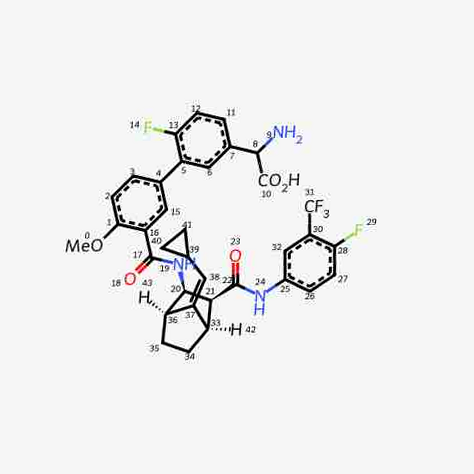 COc1ccc(-c2cc(C(N)C(=O)O)ccc2F)cc1C(=O)N[C@H]1[C@@H](C(=O)Nc2ccc(F)c(C(F)(F)F)c2)[C@H]2CC[C@@H]1/C2=C\C1CC1